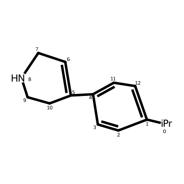 CC(C)c1ccc(C2=CCNCC2)cc1